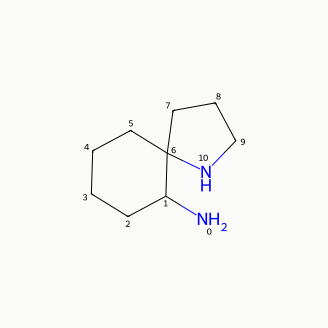 NC1CCCCC12CCCN2